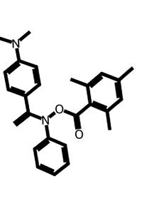 C=C(c1ccc(N(C)C)cc1)N(OC(=O)c1c(C)cc(C)cc1C)c1ccccc1